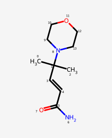 CC(C)(/C=C/C(N)=O)N1CCOCC1